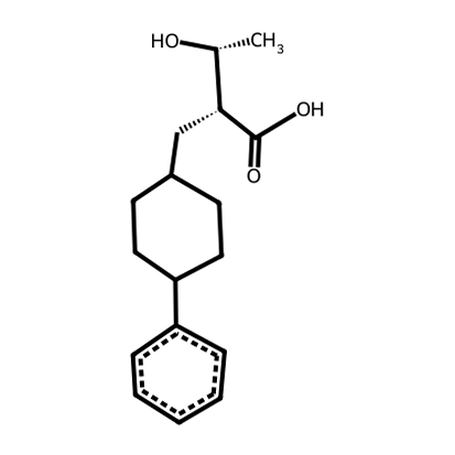 C[C@@H](O)[C@@H](CC1CCC(c2ccccc2)CC1)C(=O)O